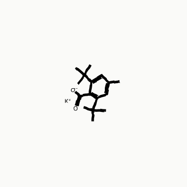 Cc1cc(C(C)(C)C)c(C(=O)[O-])c(C(C)(C)C)c1.[K+]